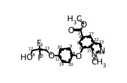 COC(=O)c1cc(Oc2ccc(OCC(F)(F)CO)cc2)c2c(cnn2C)c1